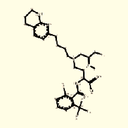 COC(CF)CN(CCCCc1ccc2c(n1)NCCC2)CCC(NC(=O)c1c(F)cccc1C(F)(F)F)C(=O)O